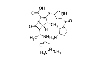 C[C@@H](NC(=O)CN(C)C)[C@H]1C(=O)N2C(C(=O)O)=C(S[C@@H]3CN[C@H](C(=O)N4CC[C@H](N)C4)C3)[C@H](C)[C@H]12